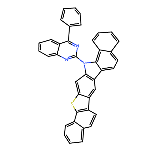 c1ccc(-c2nc(-n3c4cc5sc6c7ccccc7ccc6c5cc4c4ccc5ccccc5c43)nc3ccccc23)cc1